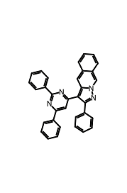 c1ccc(-c2cc(-c3c(-c4ccccc4)nn4cc5ccccc5cc34)nc(-c3ccccc3)n2)cc1